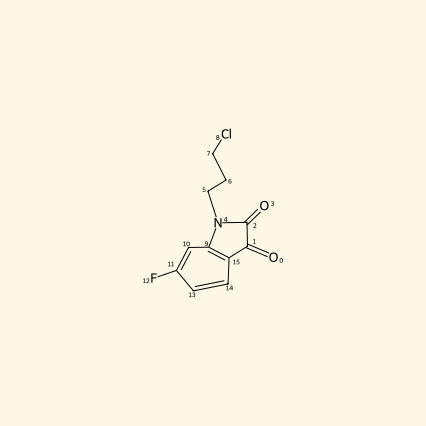 O=C1C(=O)N(CCCCl)c2cc(F)ccc21